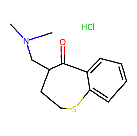 CN(C)CC1CCSc2ccccc2C1=O.Cl